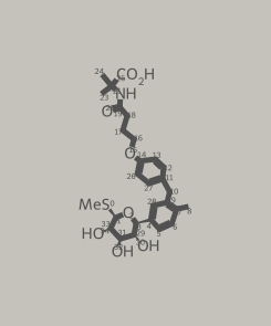 CS[C@H]1O[C@@H](c2ccc(C)c(Cc3ccc(OCCCC(=O)NC(C)(C)C(=O)O)cc3)c2)[C@H](O)[C@@H](O)[C@@H]1O